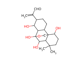 C=C(C=O)C1CCC2C(C1O)C1(O)OCC23C(O)CCC(C)(C)C3C1O